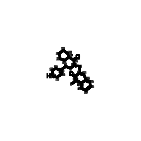 Cn1c(=O)c(CN(CCN2CCNCC2)C(=O)C2CCCCC2)cc2ccccc21